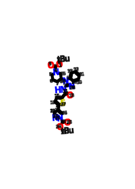 CC(C)(C)OC(=O)N1CCCC(n2c(NC(=O)c3ccc(-c4cnn(C(=O)OC(C)(C)C)c4)s3)nc3ccccc32)C1